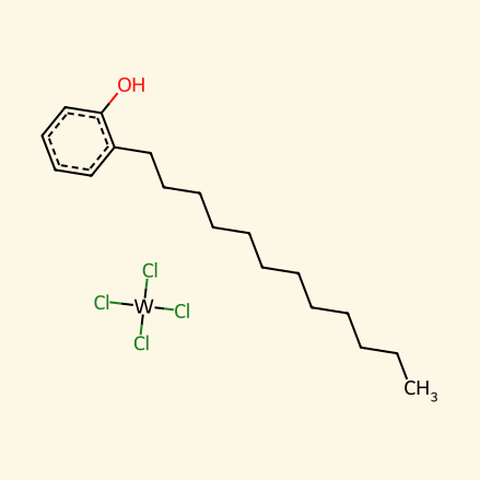 CCCCCCCCCCCCc1ccccc1O.[Cl][W]([Cl])([Cl])[Cl]